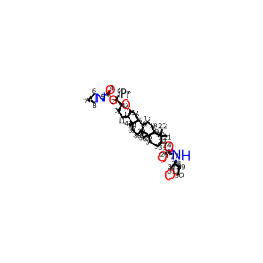 CC(C)C(OC(=O)N1CCC1)C1CCC2C(CC3C4CCC5C(C)(C)C(OC(=O)NC6CCOC6)CCC56CC46CCC23C)O1